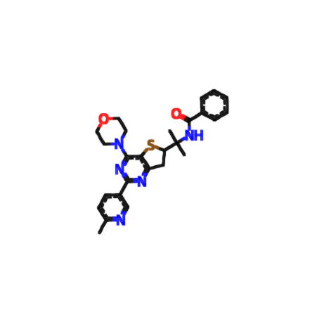 Cc1ccc(-c2nc3c(c(N4CCOCC4)n2)SC(C(C)(C)NC(=O)c2ccccc2)C3)cn1